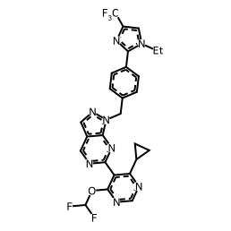 CCn1cc(C(F)(F)F)nc1-c1ccc(Cn2ncc3cnc(-c4c(OC(F)F)ncnc4C4CC4)nc32)cc1